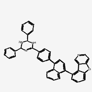 c1ccc(C2N=C(c3ccc(-c4ccc(-c5cccc6oc7ccncc7c56)c5ccccc45)cc3)NC(c3ccccc3)N2)cc1